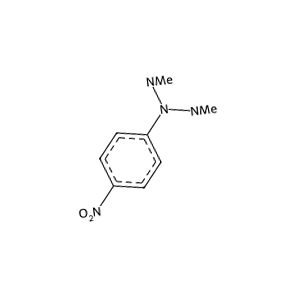 CNN(NC)c1ccc([N+](=O)[O-])cc1